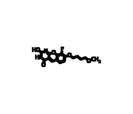 COCCCCOc1ccc2c(c1F)OC1=NC(O)NC(=O)C1=C2